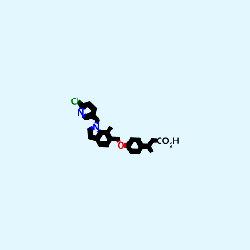 Cc1c(COc2ccc(C(C)CC(=O)O)cc2)ccc2ccn(Cc3ccc(Cl)nc3)c12